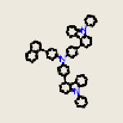 c1ccc(-n2c3ccccc3c3c(-c4ccc(N(c5ccc(-c6cccc7ccccc67)cc5)c5ccc(-c6cccc7c6c6ccccc6n7-c6ccccc6)cc5)cc4)cccc32)cc1